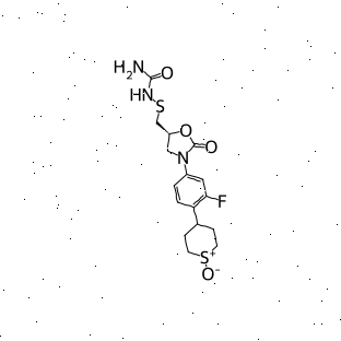 NC(=O)NSC[C@@H]1CN(c2ccc(C3CC[S+]([O-])CC3)c(F)c2)C(=O)O1